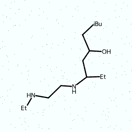 CCNCCNC(CC)CC(O)CC(C)CC